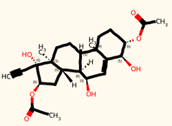 C#C[C@]1(O)[C@H](OC(C)=O)C[C@H]2[C@@H]3[C@H](O)C=C4[C@H](O)[C@@H](OC(C)=O)CC[C@]4(C)[C@H]3CC[C@@]21C